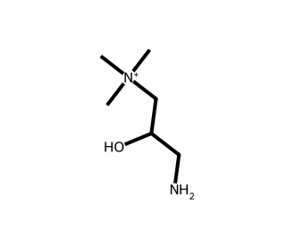 C[N+](C)(C)CC(O)CN